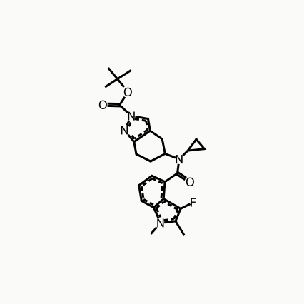 Cc1c(F)c2c(C(=O)N(C3CC3)C3CCc4nn(C(=O)OC(C)(C)C)cc4C3)cccc2n1C